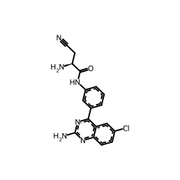 N#CC[C@H](N)C(=O)Nc1cccc(-c2nc(N)nc3ccc(Cl)cc23)c1